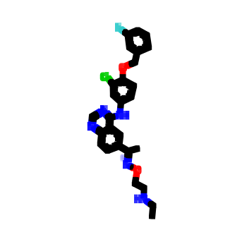 CCNCCO/N=C(\C)c1ccc2ncnc(Nc3ccc(OCc4cccc(F)c4)c(Cl)c3)c2c1